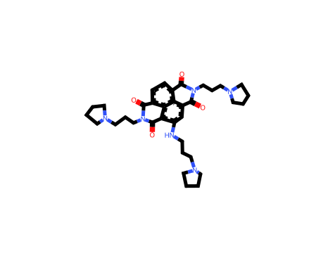 O=C1c2ccc3c4c(c(NCCCN5CCCC5)cc(c24)C(=O)N1CCCN1CCCC1)C(=O)N(CCCN1CCCC1)C3=O